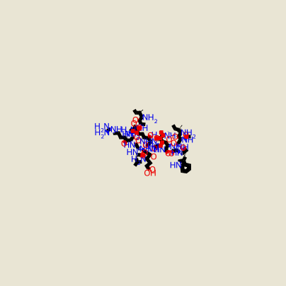 CC[C@H](C)C(N)C(=O)C(C)NC(=O)C(C)(C)NC(=O)C(NC(=O)C(NC(=O)C(NC(=O)C(NC(=O)C(CC(=O)[C@H](C)NC)NC(=O)C(NC(=O)C(NC(=O)C(NC(C)=O)C(=O)C(N)[C@@H](C)CC)N[C@H](C=O)Cc1c[nH]c2ccccc12)C(=O)C(N)[C@@H](C)CC)C(=O)[C@@H](N)CCC(N)=O)C(=O)[C@@H](N)CCC(=O)O)N[C@H](C=O)CC(C)C)C(=O)[C@@H](N)CCCNC(N)N